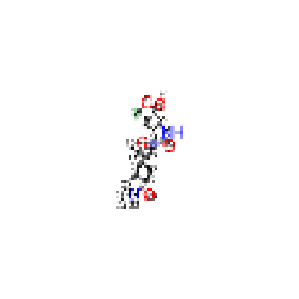 COC(=O)c1cc2c(cc1F)/C(=C1/C=C(c3ccc(C(=O)N4CCCC4)cc3)C(C)(C)O1)C(=O)N2